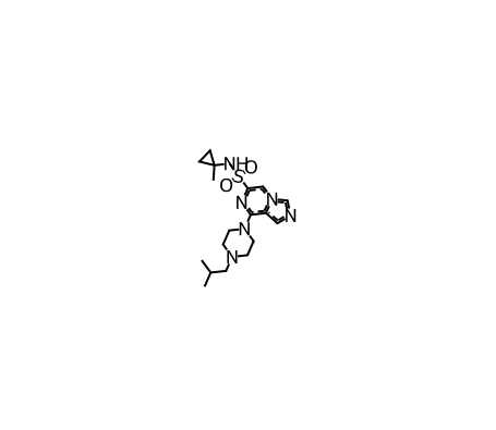 CC(C)CN1CCN(c2nc(S(=O)(=O)NC3(C)CC3)cn3cncc23)CC1